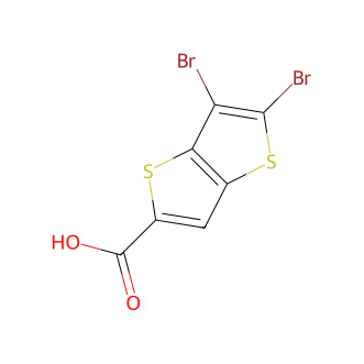 O=C(O)c1cc2sc(Br)c(Br)c2s1